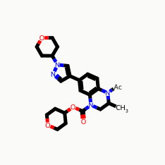 CC(=O)N1c2ccc(-c3cnn(C4CCOCC4)c3)cc2N(C(=O)OC2CCOCC2)CC1C